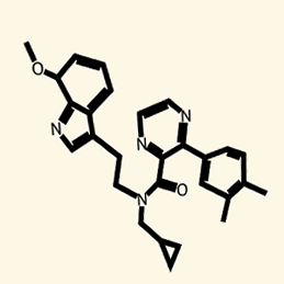 COC1C=CC=C2C(CCN(CC3CC3)C(=O)c3nccnc3-c3ccc(C)c(C)c3)=CN=C21